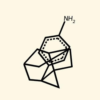 Nc1ccc(C23CC4CC5CC2(C3)C5C4)cc1